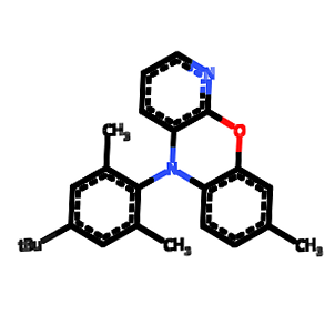 Cc1ccc2c(c1)Oc1ncccc1N2c1c(C)cc(C(C)(C)C)cc1C